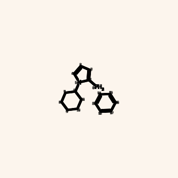 Pc1cccn1C1CCCCC1.c1ccccc1